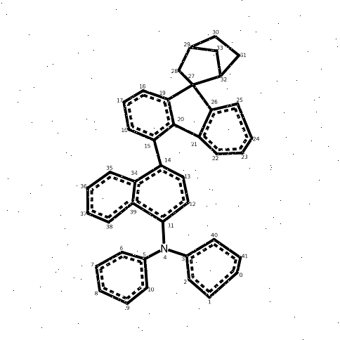 c1ccc(N(c2ccccc2)c2ccc(-c3cccc4c3-c3ccccc3C43CC4CCC3C4)c3ccccc23)cc1